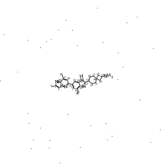 Cc1cn2nc(-c3cc(F)c4nc(C5CCC6(CC5)CC(N)C6)[nH]c4c3)cc(C)c2n1